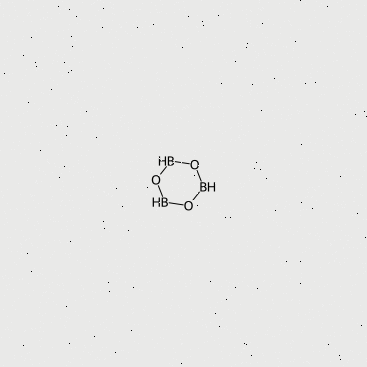 B1OBOBO1